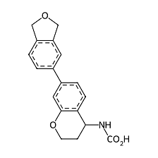 O=C(O)NC1CCOc2cc(-c3ccc4c(c3)COC4)ccc21